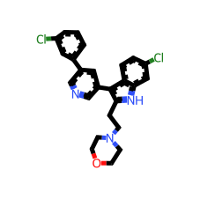 Clc1cccc(-c2cncc(-c3c(CCN4CCOCC4)[nH]c4cc(Cl)ccc34)c2)c1